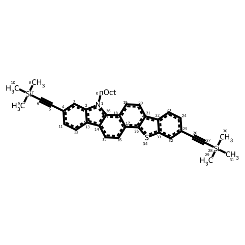 CCCCCCCCn1c2cc(C#C[Si](C)(C)C)ccc2c2ccc3c(ccc4c5ccc(C#C[Si](C)(C)C)cc5sc43)c21